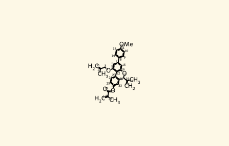 C=C(C)COc1cc(-c2ccc(OC)cc2)cc(OCC(=C)C)c1-c1ccc(OC(=O)C(=C)C)cc1